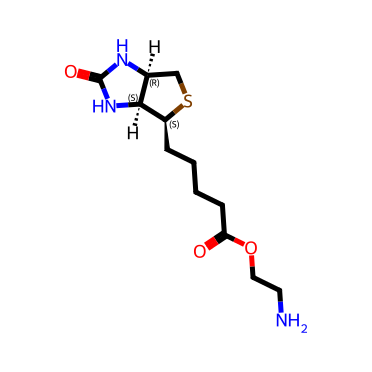 NCCOC(=O)CCCC[C@@H]1SC[C@@H]2NC(=O)N[C@@H]21